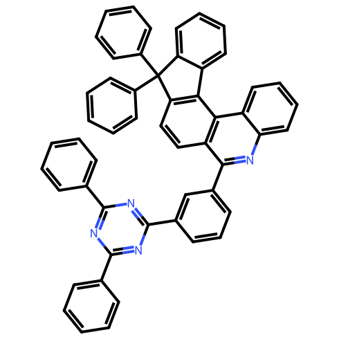 c1ccc(-c2nc(-c3ccccc3)nc(-c3cccc(-c4nc5ccccc5c5c6c(ccc45)C(c4ccccc4)(c4ccccc4)c4ccccc4-6)c3)n2)cc1